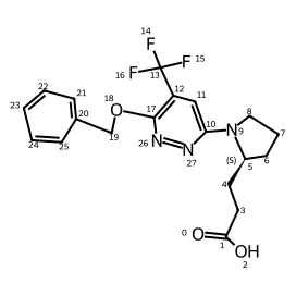 O=C(O)CC[C@@H]1CCCN1c1cc(C(F)(F)F)c(OCc2ccccc2)nn1